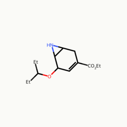 CCOC(=O)C1=CC(OC(CC)CC)C2NC2C1